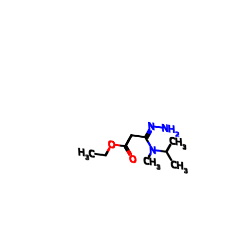 CCOC(=O)C/C(=N/N)N(C)C(C)C